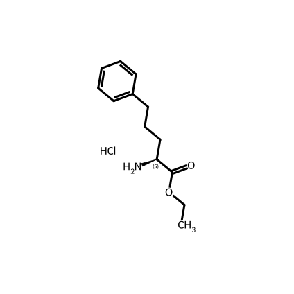 CCOC(=O)[C@@H](N)CCCc1ccccc1.Cl